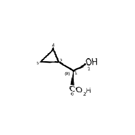 O=C(O)[C@H](O)C1CC1